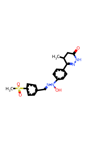 CC1CC(=O)NN=C1c1ccc(N(O)N=Cc2ccc(S(C)(=O)=O)cc2)cc1